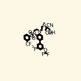 CN(CCN1CCN(S(=O)(=O)c2cccc(C(F)(F)F)c2)c2cc(-c3cc(F)cc(OC(F)F)c3)ccc21)C(C#N)(CO)CO